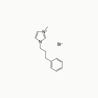 C[n+]1ccn(CCCc2ccccc2)c1.[Br-]